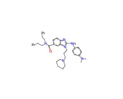 CC(C)CCN(CCC(C)C)C(=O)c1ccc2nc(Nc3ccc(N(C)C)cc3)n(CCCN3CCCCC3)c2c1